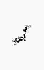 CCCCCCCCCCCC(=O)NCC[N+](C)(C)CC(O)CS(=O)(=O)[O-]